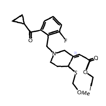 COCSC1CCN(Cc2c(F)cccc2C(=O)C2CC2)C/C1=C/C(=O)OCI